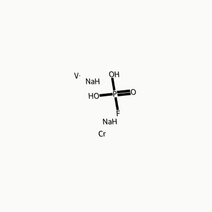 O=P(O)(O)F.[Cr].[NaH].[NaH].[V]